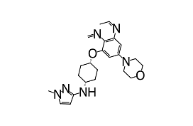 C=Nc1c(/N=C\C)cc(N2CCOCC2)cc1O[C@H]1CC[C@@H](Nc2ccn(C)n2)CC1